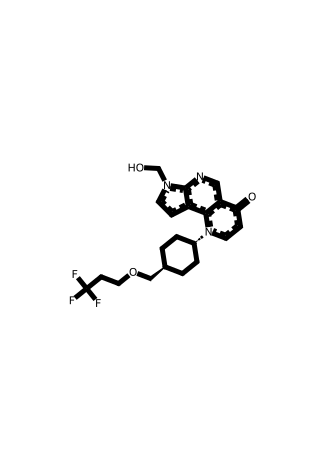 O=c1ccn([C@H]2CC[C@H](COCCC(F)(F)F)CC2)c2c1cnc1c2ccn1CO